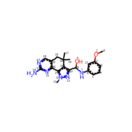 COc1cccc(NC(O)c2nn(C)c3c2C(C)(C)Cc2cnc(N)nc2-3)c1